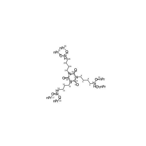 CCCO[SiH](CCCCn1c(=O)n(CCCC[SiH](OCCC)OCCC)c(=O)n(CCCC[SiH](OCCC)OCCC)c1=O)OCCC